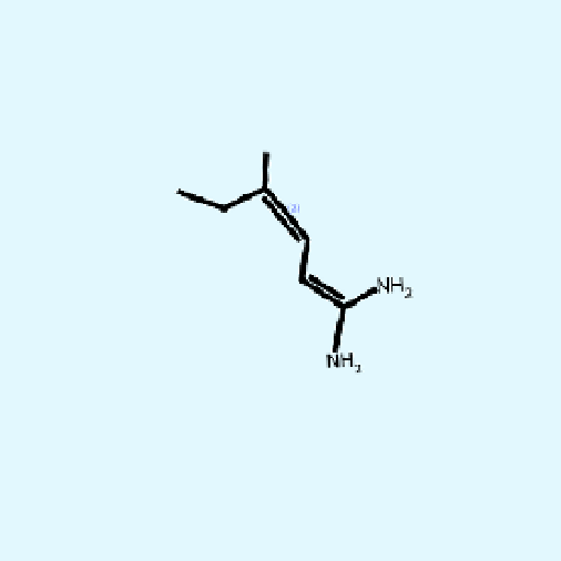 CC/C(C)=C\C=C(N)N